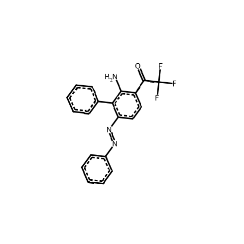 Nc1c(C(=O)C(F)(F)F)ccc(N=Nc2ccccc2)c1-c1ccccc1